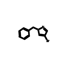 Brc1cnn(Cc2cc[c]cc2)c1